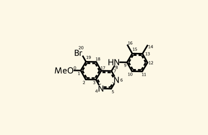 COc1cc2ncnc(Nc3cccc(C)c3C)c2cc1Br